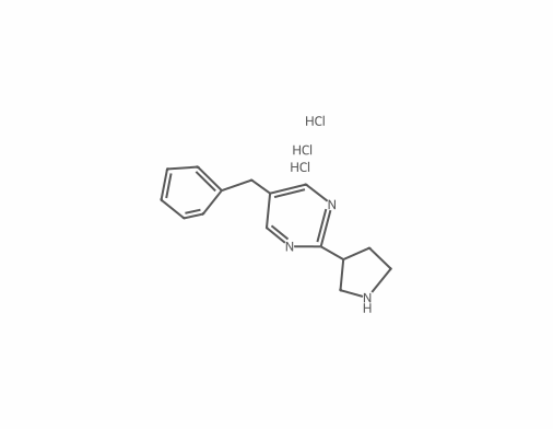 Cl.Cl.Cl.c1ccc(Cc2cnc(C3CCNC3)nc2)cc1